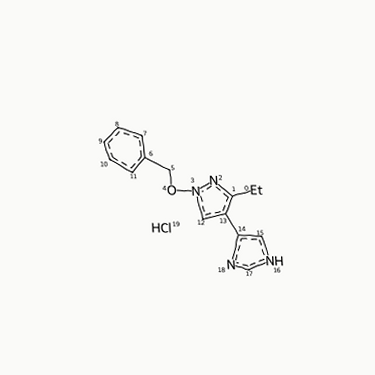 CCc1nn(OCc2ccccc2)cc1-c1c[nH]cn1.Cl